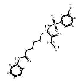 O=C(CCCCC[C@H](NS(=O)(=O)c1cccc(Br)c1)C(=O)NO)Nc1ccccc1